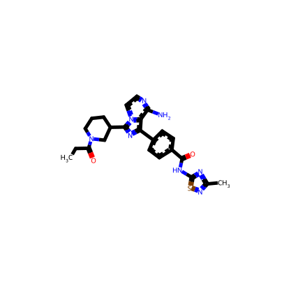 CCC(=O)N1CCCC(c2nc(-c3ccc(C(=O)Nc4nc(C)ns4)cc3)c3c(N)nccn23)C1